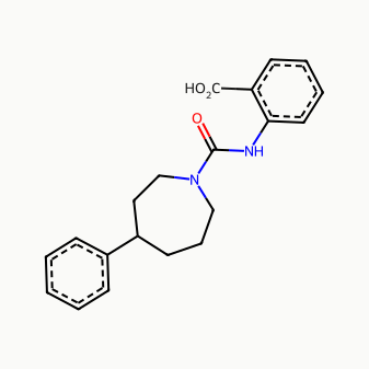 O=C(O)c1ccccc1NC(=O)N1CCCC(c2ccccc2)CC1